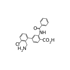 NCc1c(Cl)cccc1-c1ccc(C(=O)O)c(NC(=O)c2ccccc2)c1